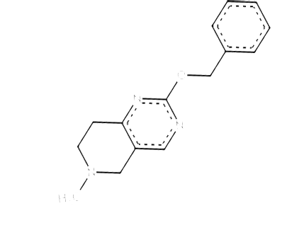 CN1CCc2nc(OCc3ccccc3)ncc2C1